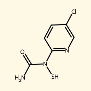 NC(=O)N(S)c1ccc(Cl)cn1